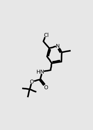 Cc1cc(CNC(=O)OC(C)(C)C)cc(CCl)n1